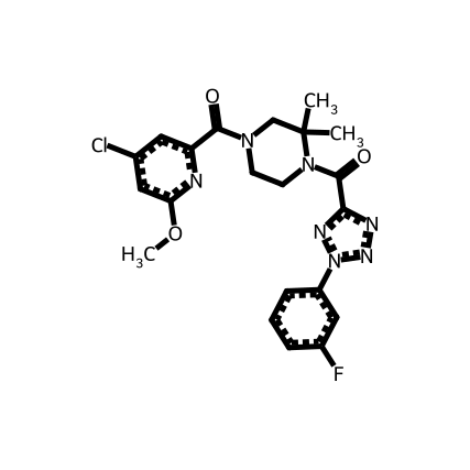 COc1cc(Cl)cc(C(=O)N2CCN(C(=O)c3nnn(-c4cccc(F)c4)n3)C(C)(C)C2)n1